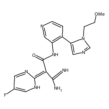 COCCn1cncc1-c1ccncc1NC(=O)/C(C(=N)N)=C1\N=CC(F)=CN1